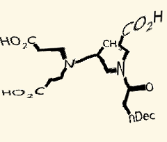 CCCCCCCCCCCC(=O)N(CCC(=O)O)CC(C)N(CCC(=O)O)CCC(=O)O